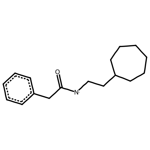 O=C(Cc1ccccc1)[N]CCC1CCCCCC1